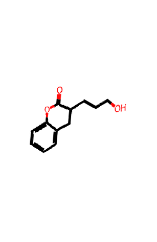 O=C1Oc2ccccc2CC1CCCO